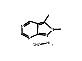 Cc1c2cncnc2nn1C.NC=O